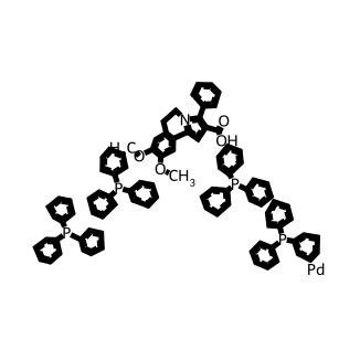 COc1cc2c(cc1OC)-c1cc(C(=O)O)c(-c3ccccc3)n1CC2.[Pd].c1ccc(P(c2ccccc2)c2ccccc2)cc1.c1ccc(P(c2ccccc2)c2ccccc2)cc1.c1ccc(P(c2ccccc2)c2ccccc2)cc1.c1ccc(P(c2ccccc2)c2ccccc2)cc1